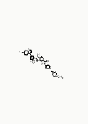 CN1CCN(CCc2ccc(NC(=O)c3ccc4[nH]c(-c5cc(-c6ccnc7cc(Cl)ccc67)ccc5O)nc4c3)cc2)CC1